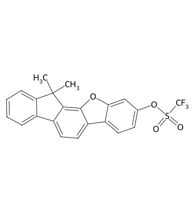 CC1(C)c2ccccc2-c2ccc3c(oc4cc(OS(=O)(=O)C(F)(F)F)ccc43)c21